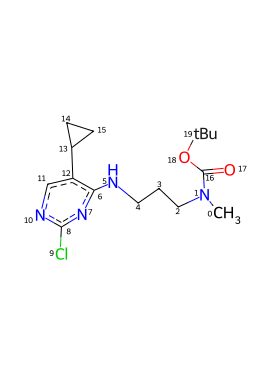 CN(CCCNc1nc(Cl)ncc1C1CC1)C(=O)OC(C)(C)C